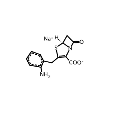 Nc1ccccc1CC1=C(C(=O)[O-])N2C(=O)C[C@@H]2S1.[Na+]